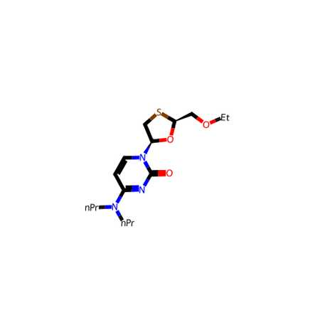 CCCN(CCC)c1ccn([C@H]2CS[C@@H](COCC)O2)c(=O)n1